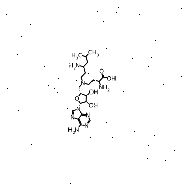 CC(C)CC(N)CCN(CCC(N)C(=O)O)C[C@H]1O[C@@H](n2cnc3c(N)ncnc32)[C@H](O)[C@@H]1O